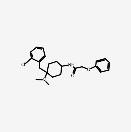 CN(C)C1(Cc2ccccc2Cl)CCC(NC(=O)COc2ccccc2)CC1